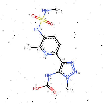 CNS(=O)(=O)Nc1ccc(-c2nnn(C)c2NC(=O)O)nc1C